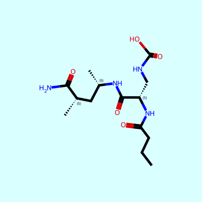 CCCC(=O)N[C@@H](CNC(=O)O)C(=O)N[C@@H](C)C[C@H](C)C(N)=O